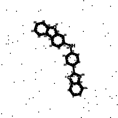 c1ccc2oc(-c3ccc(Nc4ccc5c(c4)oc4ccccc45)cc3)nc2c1